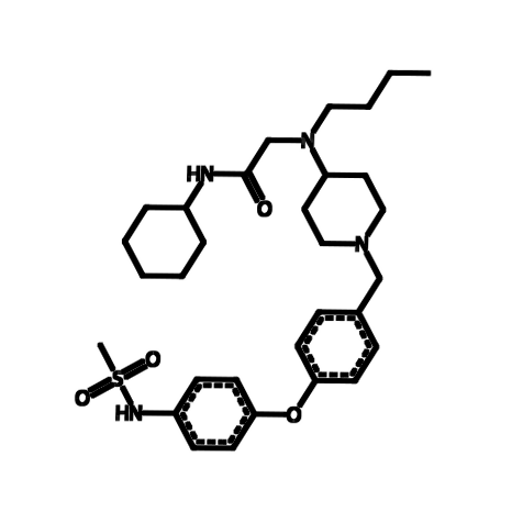 CCCCN(CC(=O)NC1CCCCC1)C1CCN(Cc2ccc(Oc3ccc(NS(C)(=O)=O)cc3)cc2)CC1